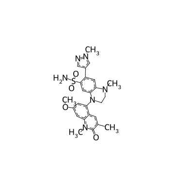 COc1cc(N2CCN(C)c3cc(-c4cnn(C)c4)c(S(N)(=O)=O)cc32)c2cc(C)c(=O)n(C)c2c1